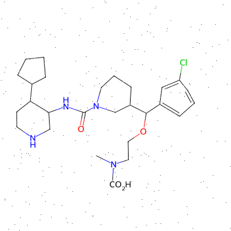 CN(CCOC(c1cccc(Cl)c1)C1CCCN(C(=O)NC2CNCCC2C2CCCC2)C1)C(=O)O